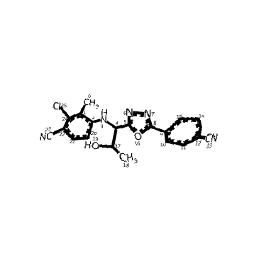 Cc1c(NC(c2nnc(-c3ccc(C#N)cc3)o2)C(C)O)ccc(C#N)c1Cl